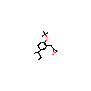 CCC(C)c1ccc(OC(C)(C)C)c(CC2CO2)c1